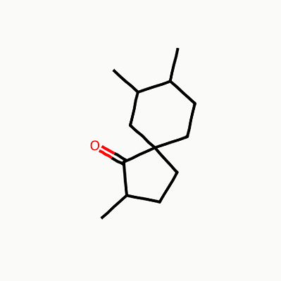 CC1CCC2(CCC(C)C(C)C2)C1=O